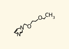 CCOCCOCn1ccnc1